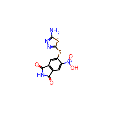 Nc1nnc(Sc2cc3c(cc2[N+](=O)O)C(=O)NC3=O)s1